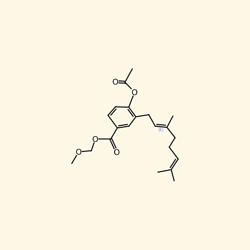 COCOC(=O)c1ccc(OC(C)=O)c(C/C=C(\C)CCC=C(C)C)c1